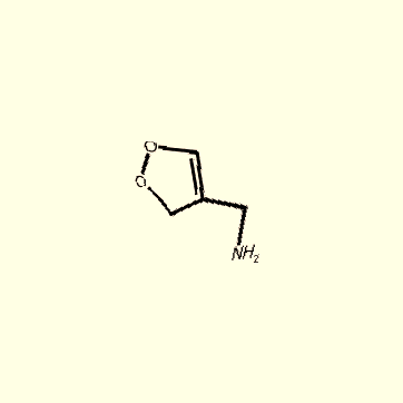 NCC1=COOC1